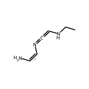 CCNC=C=N/C=C\N